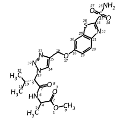 COC(=O)C(C)NC(=O)[C@H](C(C)C)n1cc(COc2ccc3nc(S(N)(=O)=O)sc3c2)nn1